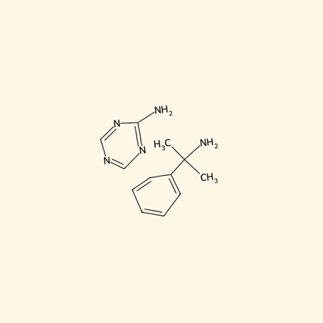 CC(C)(N)c1ccccc1.Nc1ncncn1